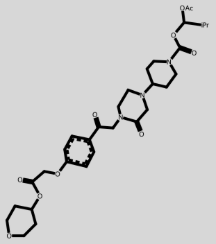 CC(=O)OC(OC(=O)N1CCC(N2CCN(CC(=O)c3ccc(OCC(=O)OC4CCOCC4)cc3)C(=O)C2)CC1)C(C)C